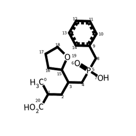 CC(CC(CP(=O)(O)Cc1ccccc1)C1CCCO1)C(=O)O